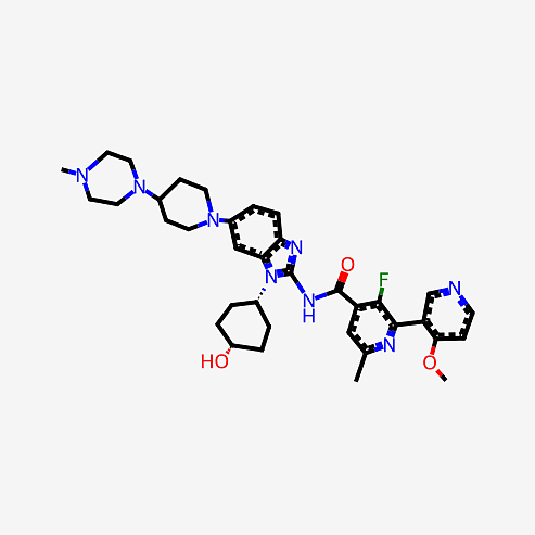 COc1ccncc1-c1nc(C)cc(C(=O)Nc2nc3ccc(N4CCC(N5CCN(C)CC5)CC4)cc3n2[C@H]2CC[C@@H](O)CC2)c1F